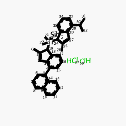 CC1=Cc2c(-c3cccc4ccccc34)cccc2[CH]1[Ti]([CH3])([CH3])(=[SiH2])[CH]1C(C)=Cc2c(C(C)C)cccc21.Cl.Cl